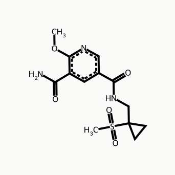 COc1ncc(C(=O)NCC2(S(C)(=O)=O)CC2)cc1C(N)=O